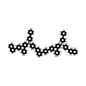 c1ccc(-c2ccc(N(c3ccc(-c4ccc5ccccc5c4)cc3)c3ccc(-c4ccc(-c5ccc(-c6cccc7cc(-c8ccc(N(c9ccc(-c%10ccccc%10)cc9)c9ccc(-c%10ccc(-c%11cccc%12ccccc%11%12)cc%10)c(-c%10ccccc%10)c9)cc8)ccc67)cc5)cc4)c(-c4ccccc4)c3)cc2)cc1